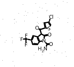 NC(=O)N1C(=O)C(C(=O)c2cc(Cl)cs2)c2cc(C(F)(F)F)ccc21